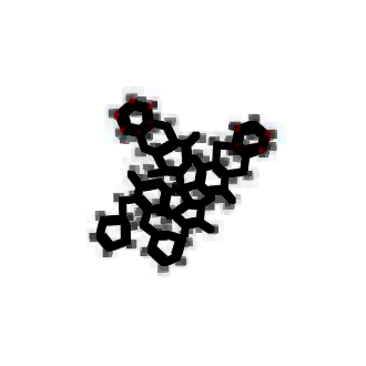 CC1=C(C)C(C)C([Si](c2cc(C)c(Cc3ccccc3)c(Cc3ccccc3)c2C)(c2cc(C)c(Cc3ccccc3)c(Cc3ccccc3)c2C)c2cc(C)c(Cc3ccccc3)c(Cc3ccccc3)c2C)=C1C